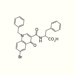 O=C(NC(Cc1ccccc1)C(=O)O)c1cn(Cc2ccccc2)c2ccc(Br)cc2c1=O